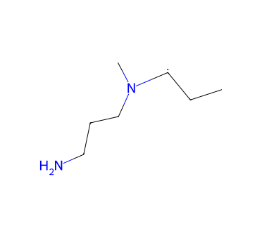 CC[CH]N(C)CCCN